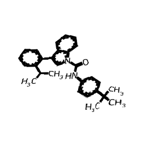 CC(C)c1ccccc1-c1cn(C(=O)Nc2ccc(C(C)(C)C)cc2)c2ccccc12